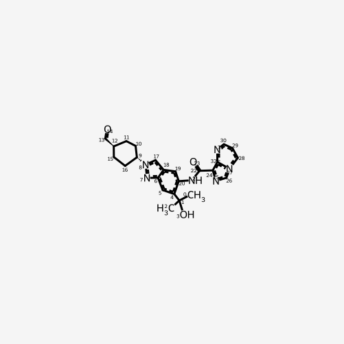 CC(C)(O)c1cc2nn([C@H]3CC[C@H](C=O)CC3)cc2cc1NC(=O)c1ncn2cccnc12